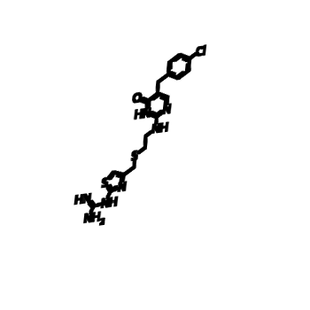 N=C(N)Nc1nc(CSCCNc2ncc(Cc3ccc(Cl)cc3)c(=O)[nH]2)cs1